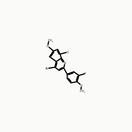 COc1cc(Cl)c2nc(-c3ccc(OC)c(F)c3)cc(Br)c2c1